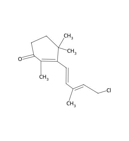 CC(C=CC1=C(C)C(=O)CCC1(C)C)=CCCl